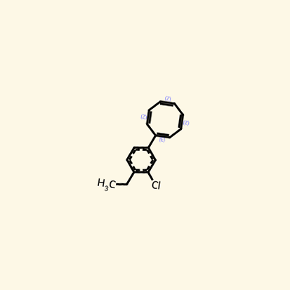 CCc1ccc(C2=C/C=C\C=C/C=C\2)cc1Cl